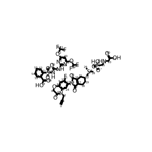 C#CCN1C(=O)COc2cc(F)c(N3C(=O)C4=C(CCCC4)C3=O)cc21.C[S+](C)C.O=C(Nc1nc(OC(F)F)cc(OC(F)F)n1)NS(=O)(=O)c1ccccc1C(=O)O.O=C(O)CNCP(=O)([O-])O